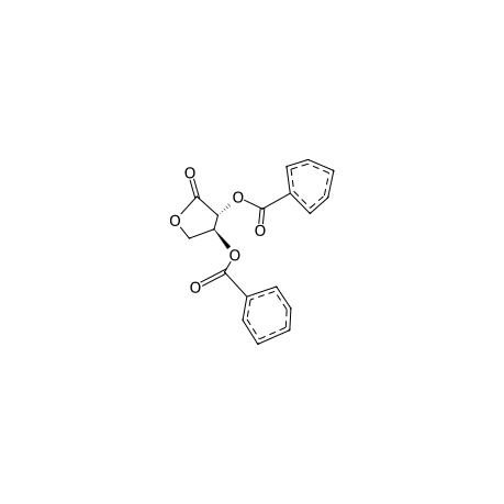 O=C(O[C@H]1COC(=O)[C@@H]1OC(=O)c1ccccc1)c1ccccc1